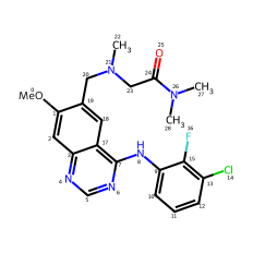 COc1cc2ncnc(Nc3cccc(Cl)c3F)c2cc1CN(C)CC(=O)N(C)C